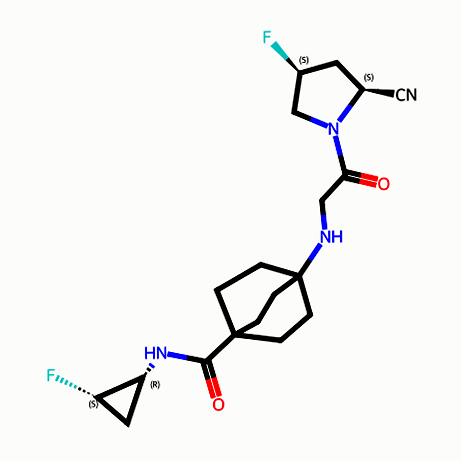 N#C[C@@H]1C[C@H](F)CN1C(=O)CNC12CCC(C(=O)N[C@@H]3C[C@@H]3F)(CC1)CC2